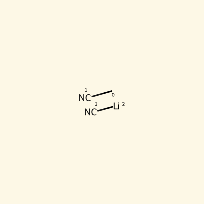 CC#N.[Li][C]#N